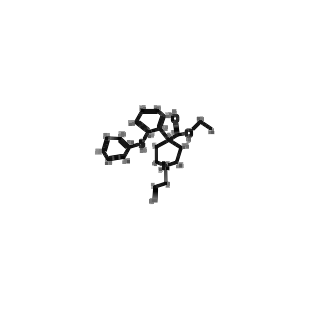 C=CCN1CCC(C(=O)OCC)(c2ccccc2Sc2ccccc2)CC1